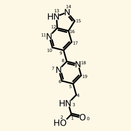 O=C(O)NCc1cnc(-c2cnc3[nH]ncc3c2)nc1